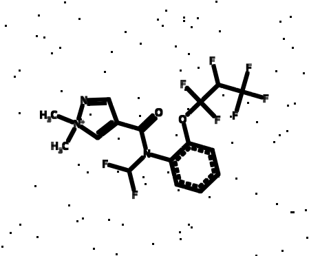 C[N+]1(C)C=C(C(=O)N(c2ccccc2OC(F)(F)C(F)C(F)(F)F)C(F)F)C=N1